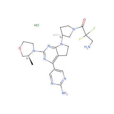 C[C@H]1COCCN1c1nc(-c2cnc(N)nc2)c2c(n1)N([C@@]1(C)CCN(C(=O)C(F)(F)CN)C1)CC2.Cl